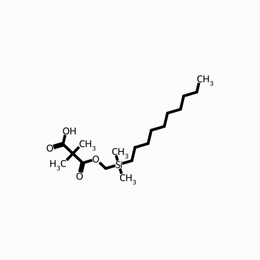 CCCCCCCCCC[Si](C)(C)COC(=O)C(C)(C)C(=O)O